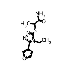 CCn1c(SC(C)C(N)=O)nnc1-c1ccoc1